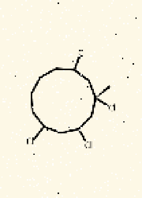 C[C@]1(Cl)CC(Cl)CCCCC(Cl)CC(Cl)C1